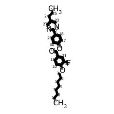 CCCCCCCCOc1ccc(C(=O)Oc2ccc(-c3ncc(CCC)cn3)cc2)cc1F